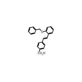 O=C(O)c1ccc(/C=C/c2ccccc2OCc2ccccc2)cc1